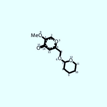 COc1coc(COC2CCCCO2)cc1=O